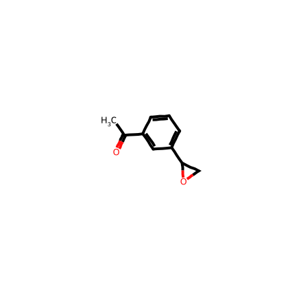 CC(=O)c1cccc(C2CO2)c1